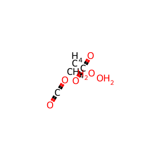 C.C.O.O.O=C=O.O=C=O